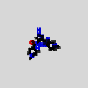 CN1CCC(C(=O)Nc2c[nH]nc2-c2nc3c([nH]2)CCN(C)C3)CC1